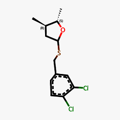 C[C@@H]1CC(SCc2ccc(Cl)c(Cl)c2)O[C@H]1C